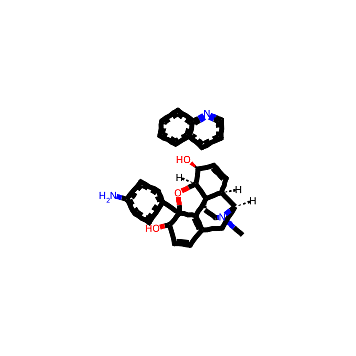 CN1CC[C@]23C4=C5C=CC(O)C4(c4ccc(N)cc4)O[C@H]2[C@@H](O)C=C[C@H]3[C@H]1C5.c1ccc2ncccc2c1